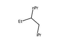 CCCC(CC)CC(C)C